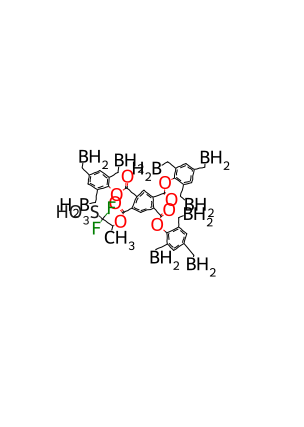 BCc1cc(CB)c(OC(=O)c2cc(C(=O)Oc3c(CB)cc(CB)cc3CB)c(C(=O)OC(C)C(F)(F)S(=O)(=O)O)cc2C(=O)Oc2c(CB)cc(CB)cc2CB)c(CB)c1